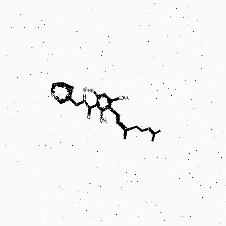 CCCCCc1cc(O)c(CC=C(C)CCC=C(C)C)c(O)c1C(=O)NCc1cccnc1